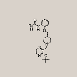 CNC(=O)Nc1ccccc1OCC1CCN(Cc2nccnc2OC(C)(C)C)CC1